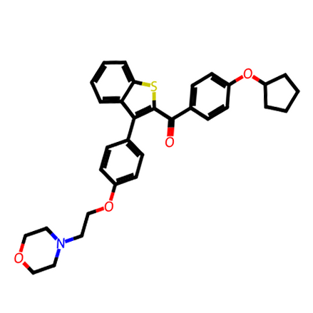 O=C(c1ccc(OC2CCCC2)cc1)c1sc2ccccc2c1-c1ccc(OCCN2CCOCC2)cc1